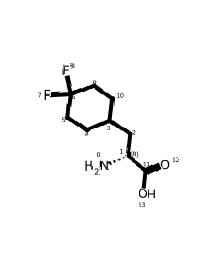 N[C@H](CC1CCC(F)(F)CC1)C(=O)O